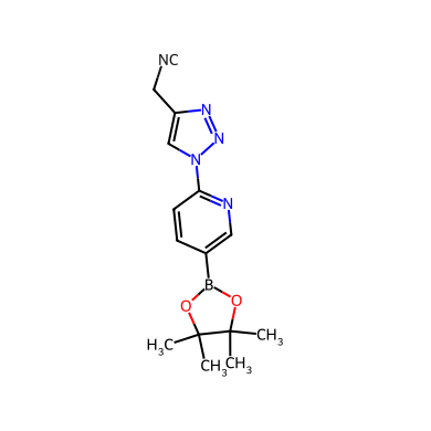 [C-]#[N+]Cc1cn(-c2ccc(B3OC(C)(C)C(C)(C)O3)cn2)nn1